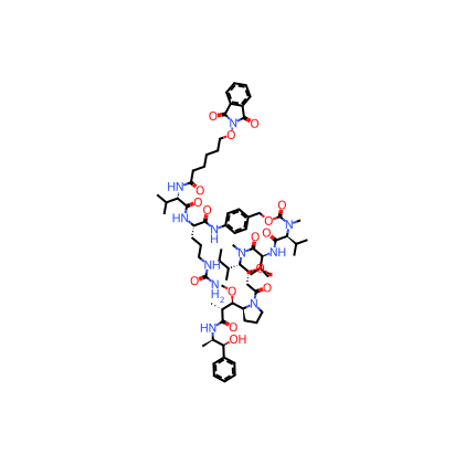 CCC(C)[C@@H]([C@@H](CC(=O)N1CCC[C@H]1[C@H](OC)[C@@H](C)C(=O)N[C@H](C)[C@@H](O)c1ccccc1)OC)N(C)C(=O)[C@@H](NC(=O)[C@H](C(C)C)N(C)C(=O)OCc1ccc(NC(=O)[C@H](CCCNC(N)=O)NC(=O)[C@@H](NC(=O)CCCCCON2C(=O)c3ccccc3C2=O)C(C)C)cc1)C(C)C